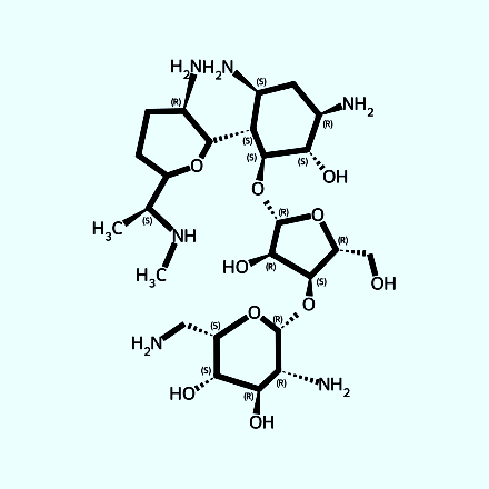 CN[C@@H](C)C1CC[C@@H](N)C([C@H]2[C@H](O[C@@H]3O[C@H](CO)[C@@H](O[C@H]4O[C@@H](CN)[C@@H](O)[C@H](O)[C@H]4N)[C@H]3O)[C@@H](O)[C@H](N)C[C@@H]2N)O1